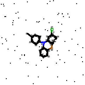 Cc1ccc(N2c3ccccc3Sc3ccc(Cl)cc32)cc1